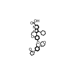 O=C(O)c1ccc2c(C3CCCCC3)c3n(c2n1)CCOc1cc(OCc2cc(N4CCCC4=O)ccc2N2CCOCC2)ccc1-3